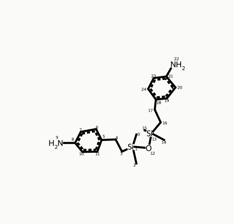 C[Si](C)(CCc1ccc(N)cc1)O[Si](C)(C)CCc1ccc(N)cc1